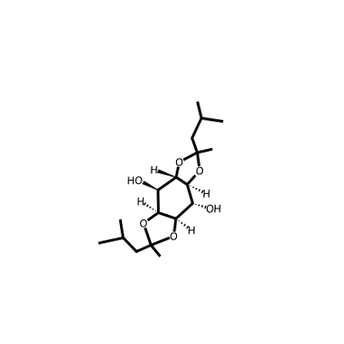 CC(C)CC1(C)O[C@@H]2[C@@H](O)[C@@H]3OC(C)(CC(C)C)O[C@H]3[C@H](O)[C@@H]2O1